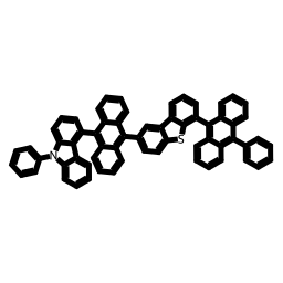 c1ccc(-c2c3ccccc3c(-c3cccc4c3sc3ccc(-c5c6ccccc6c(-c6cccc7c6c6ccccc6n7-c6ccccc6)c6ccccc56)cc34)c3ccccc23)cc1